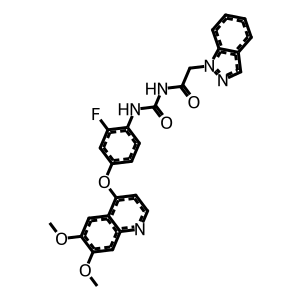 COc1cc2nccc(Oc3ccc(NC(=O)NC(=O)Cn4ncc5ccccc54)c(F)c3)c2cc1OC